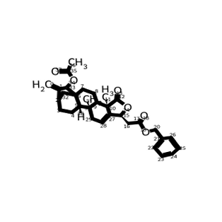 C=C1C2CC[C@@H]3C(CCC4[C@@]5(C)C(=O)O[C@@H](CC(=O)OCc6ccccc6)C5=CC[C@]43C)(C2)C1OC(C)=O